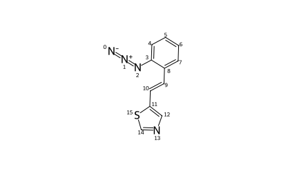 [N-]=[N+]=Nc1ccccc1C=Cc1cncs1